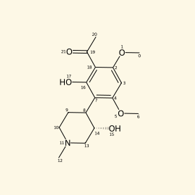 COc1cc(OC)c(C2CCN(C)C[C@H]2O)c(O)c1C(C)=O